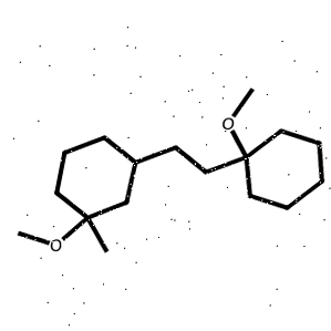 COC1(C)CCCC(CCC2(OC)CCCCC2)C1